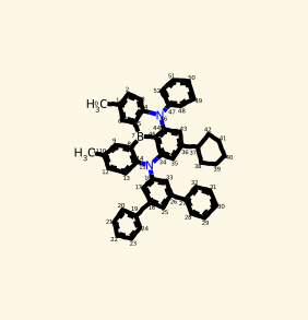 Cc1ccc2c(c1)B1c3cc(C)ccc3N(c3cc(-c4ccccc4)cc(-c4ccccc4)c3)c3cc(C4CCCCC4)cc(c31)N2c1ccccc1